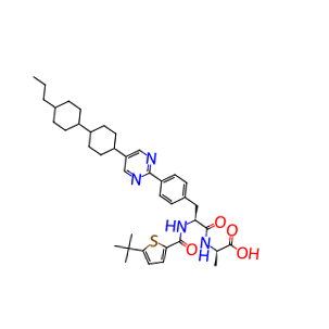 CCCC1CCC(C2CCC(c3cnc(-c4ccc(C[C@H](NC(=O)c5ccc(C(C)(C)C)s5)C(=O)N[C@H](C)C(=O)O)cc4)nc3)CC2)CC1